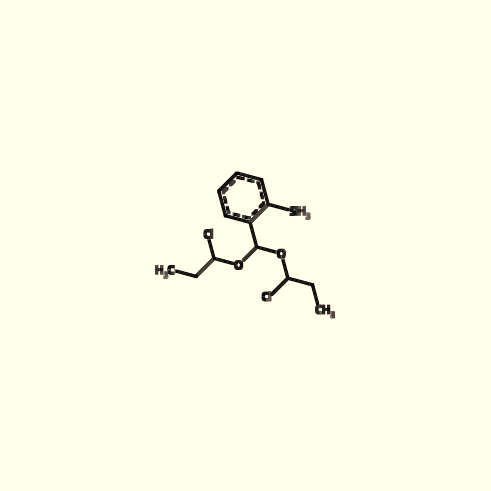 CCC(Cl)OC(OC(Cl)CC)c1ccccc1[SiH3]